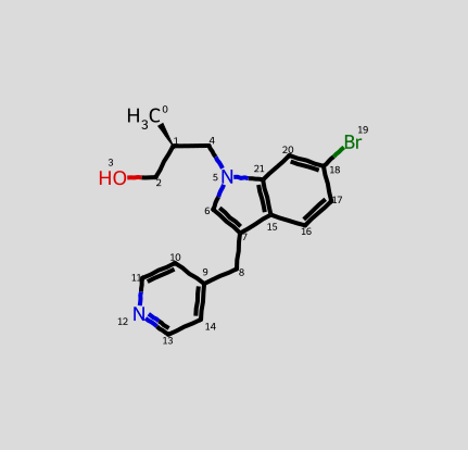 C[C@H](CO)Cn1cc(Cc2ccncc2)c2ccc(Br)cc21